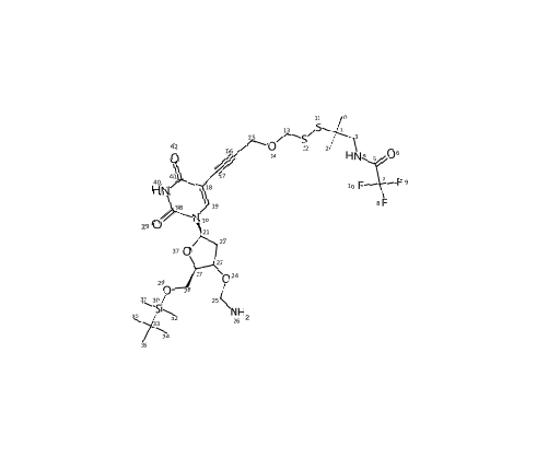 CC(C)(CNC(=O)C(F)(F)F)SSCOCC#Cc1cn([C@H]2CC(OCN)[C@@H](CO[Si](C)(C)C(C)(C)C)O2)c(=O)[nH]c1=O